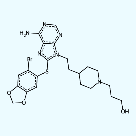 Nc1ncnc2c1nc(Sc1cc3c(cc1Br)OCO3)n2CCC1CCN(CCCO)CC1